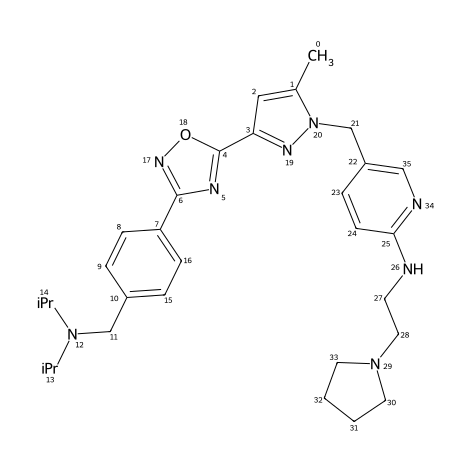 Cc1cc(-c2nc(-c3ccc(CN(C(C)C)C(C)C)cc3)no2)nn1Cc1ccc(NCCN2CCCC2)nc1